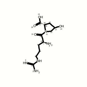 N=C(N)NCCC[C@H](N)C(=O)N1CC(O)C[C@H]1C(=O)O